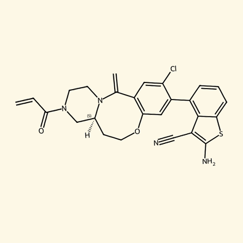 C=CC(=O)N1CCN2C(=C)c3cc(Cl)c(-c4cccc5sc(N)c(C#N)c45)cc3OCC[C@H]2C1